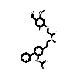 COc1cc(OCC(=O)N(C)CCc2ccc(-c3ccccc3)c(NC(=O)O)c2)c(Cl)cc1C=O